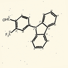 O=Cc1ccc(-n2c3ccccc3c3ccccc32)cc1C(F)(F)F